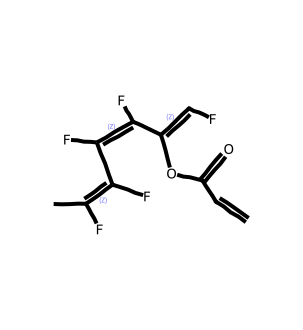 C=CC(=O)OC(=C\F)/C(F)=C(F)\C(F)=C(/C)F